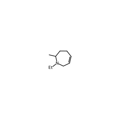 CCN1CC=CCCC1C